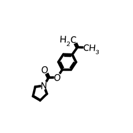 C=C(C)c1ccc(OC(=O)N2CCCC2)cc1